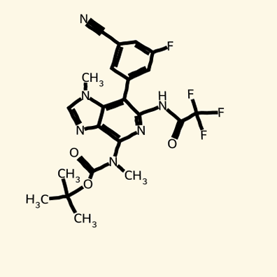 CN(C(=O)OC(C)(C)C)c1nc(NC(=O)C(F)(F)F)c(-c2cc(F)cc(C#N)c2)c2c1ncn2C